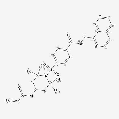 C=CC(=O)NC1CC(C)(C)N(S(=O)(=O)c2ccc(C(=O)NCc3cccc4ccccc34)cc2)C(C)(C)C1